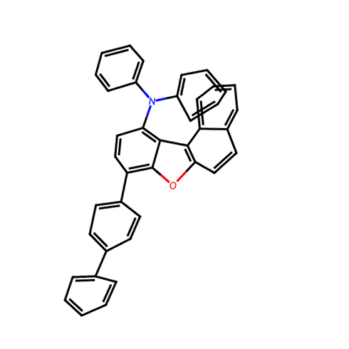 c1ccc(-c2ccc(-c3ccc(N(c4ccccc4)c4ccccc4)c4c3oc3ccc5ccccc5c34)cc2)cc1